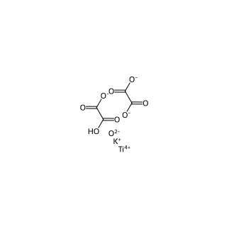 O=C([O-])C(=O)O.O=C([O-])C(=O)[O-].[K+].[O-2].[Ti+4]